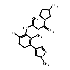 C=C(NC1=C(CC)CCC(c2cnn(C)c2)=C1C)SC(=C)N1CC[C@@H](C)C1